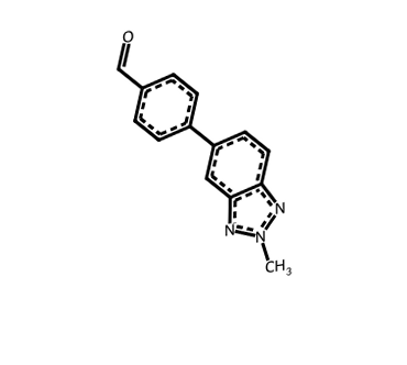 Cn1nc2ccc(-c3ccc(C=O)cc3)cc2n1